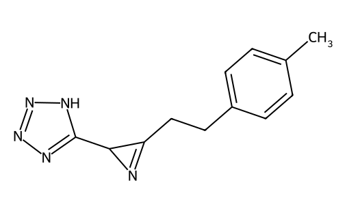 Cc1ccc(CCC2=NC2c2nnn[nH]2)cc1